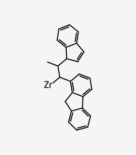 CC([CH]([Zr])c1cccc2c1Cc1ccccc1-2)C1C=Cc2ccccc21